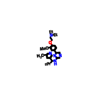 CCCC(Nc1cncc(-c2ccc(OCCN(CC)CC)c(OC)c2)n1)c1cncc(C)c1